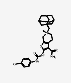 C[N+]1(CC23CC4CC(CC(C4)C2)C3)CCc2c(sc(NC(=O)Nc3ccc(Cl)cc3)c2C(N)=O)C1